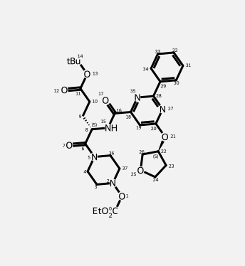 CCOC(=O)ON1CCN(C(=O)[C@H](CCC(=O)OC(C)(C)C)NC(=O)c2cc(O[C@H]3CCOC3)nc(-c3ccccc3)n2)CC1